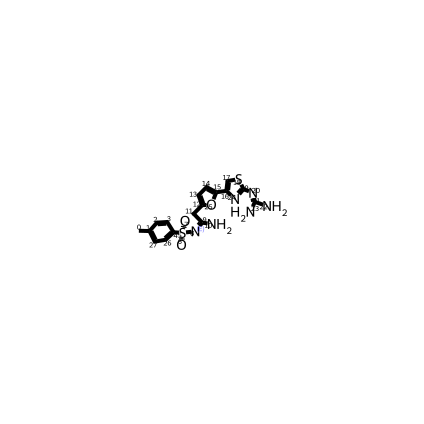 Cc1ccc(S(=O)(=O)/N=C(/N)Cc2ccc(-c3csc(N=C(N)N)n3)o2)cc1